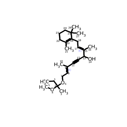 CCC(C)(OC)OC/C=C(\C)C#CC(O)/C(C)=C/CC1=C(C)CCCC1(C)C